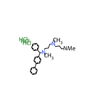 CNCCCN(C)CCCN(C)C(c1ccccc1)c1ccc(-c2ccccc2)cc1.Cl.Cl.Cl